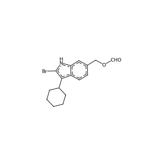 O=COCc1ccc2c(C3CCCCC3)c(Br)[nH]c2c1